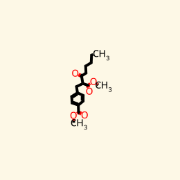 CCCCCC(=O)C(Cc1ccc(C(=O)OC)cc1)C(=O)OC